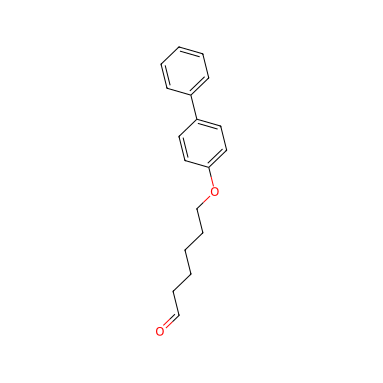 O=CCCCCCOc1ccc(-c2ccccc2)cc1